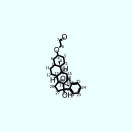 C[C@]12CCC(OCC=O)CC1CC[C@@H]1[C@H]2CC[C@]2(C)C(O)(c3ccccc3)CC[C@@]12O